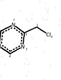 ClCc1ncncn1